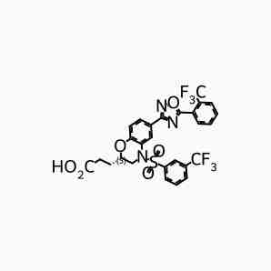 O=C(O)CC[C@H]1CN(S(=O)(=O)c2cccc(C(F)(F)F)c2)c2cc(-c3noc(-c4ccccc4C(F)(F)F)n3)ccc2O1